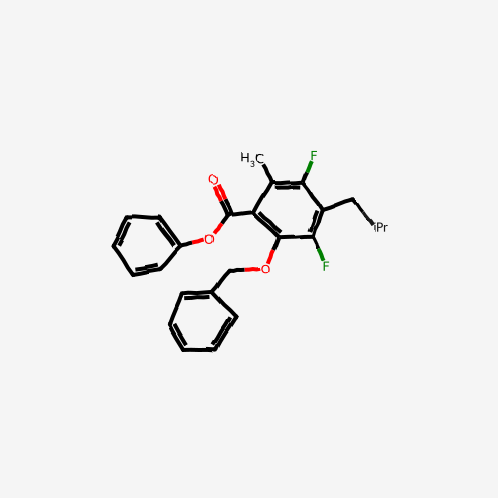 Cc1c(F)c(CC(C)C)c(F)c(OCc2ccccc2)c1C(=O)Oc1ccccc1